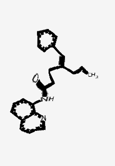 C=CC/C(=C/c1ccccc1)CCC(=O)Nc1cccc2cccnc12